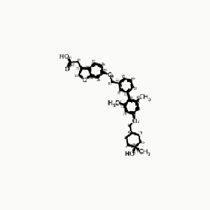 Cc1cc(OCC2CCC(C)(O)CC2)cc(C)c1-c1cccc(COc2ccc3c(c2)OCC3CC(=O)O)c1